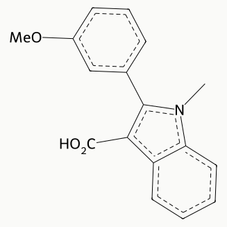 COc1cccc(-c2c(C(=O)O)c3ccccc3n2C)c1